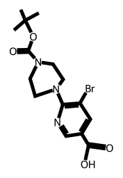 CC(C)(C)OC(=O)N1CCN(c2ncc(C(=O)O)cc2Br)CC1